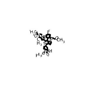 C=CC(=O)N1CCn2nc(-c3nc(-c4ccc5c(c4)[nH]c(=O)n5C)c4ccsc4c3-c3c(F)cc(F)cc3OCCOC)cc2C1C